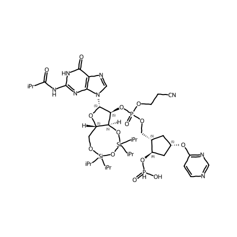 CC(C)C(=O)Nc1nc2c(ncn2[C@H]2O[C@H]3CO[Si](C(C)C)(C(C)C)O[Si](C(C)C)(C(C)C)O[C@@H]3[C@@H]2OP(=O)(OCCC#N)OC[C@@H]2C[C@H](Oc3ccncn3)C[C@H]2O[PH](=O)O)c(=O)[nH]1